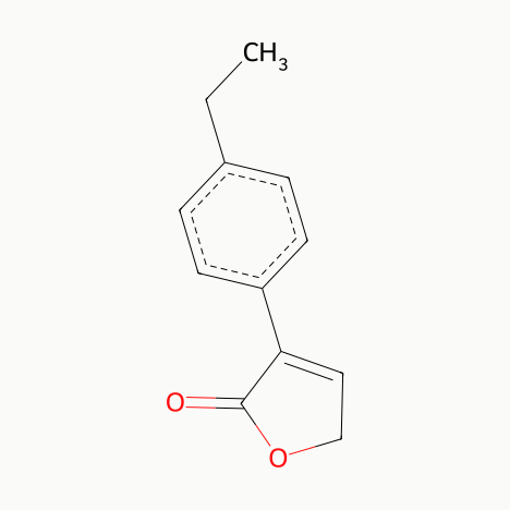 CCc1ccc(C2=CCOC2=O)cc1